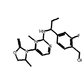 C=C1OCC(C)N1C1=CC=NC(NC(CC)c2ccc(CO)c(F)c2)N1C